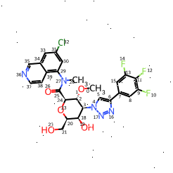 CO[C@@H]1[C@@H](n2cc(-c3cc(F)c(F)c(F)c3)nn2)[C@@H](O)[C@@H](CO)O[C@H]1C(=O)N(C)c1cc(Cl)cc2cnccc12